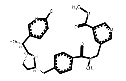 COC(=O)c1cncc(CN(C)C(=O)c2ccc(C[C@@H]3CC[C@H]([C@H](O)c4ccc(Cl)nc4)N3)cc2)c1